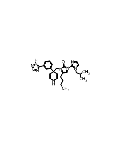 CCCCc1cn(-c2nccn2CC(C)C)c(=O)n1CC1(c2cccc(-c3nnn[nH]3)c2)C=CNC=C1